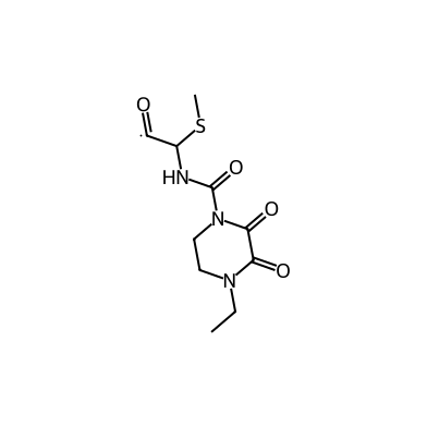 CCN1CCN(C(=O)NC([C]=O)SC)C(=O)C1=O